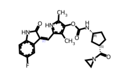 Cc1[nH]c(/C=C2\C(=O)Nc3ccc(F)cc32)c(C)c1OC(=O)N[C@@H]1CC[C@H](C(=O)N2CC2)C1